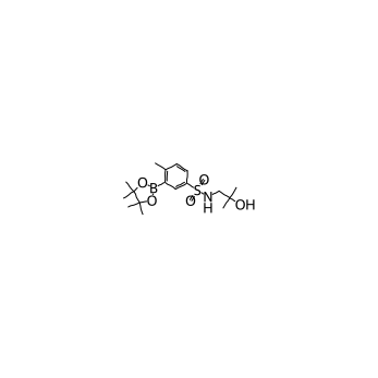 Cc1ccc(S(=O)(=O)NCC(C)(C)O)cc1B1OC(C)(C)C(C)(C)O1